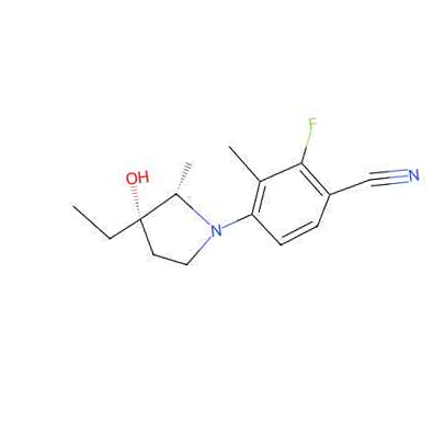 CC[C@]1(O)CCN(c2ccc(C#N)c(F)c2C)[C@H]1C